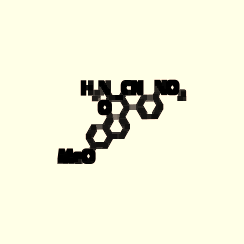 COc1ccc2c3c(ccc2c1)C(c1cccc([N+](=O)[O-])c1)C(C#N)=C(N)O3